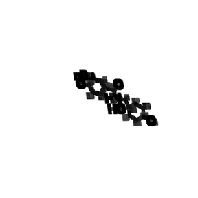 CCCCOc1ccc(C(=O)NCC2(O)CCC(=O)CC2)cc1